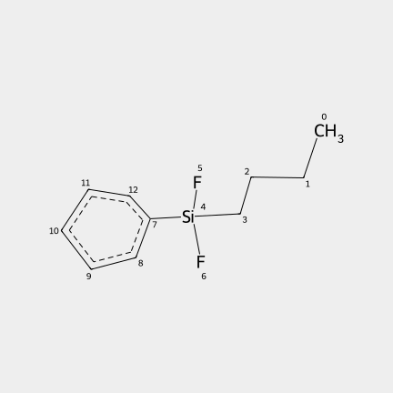 CCCC[Si](F)(F)c1ccccc1